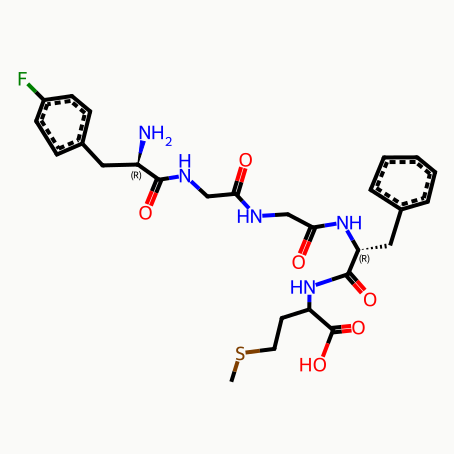 CSCCC(NC(=O)[C@@H](Cc1ccccc1)NC(=O)CNC(=O)CNC(=O)[C@H](N)Cc1ccc(F)cc1)C(=O)O